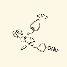 COc1ccc(COC(=O)[C@H]2CC(OC=O)CN2C(=O)OCc2ccc([N+](=O)[O-])cc2)cc1